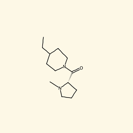 CCC1CCN(C(=O)[C@@H]2CCCN2C)CC1